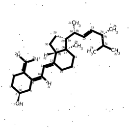 [2H]C([2H])=C1CC[C@H](O)CC1=C([2H])C=C1CCC[C@]2(C)[C@@H]([C@H](C)C=C[C@H](C)C(C)C)CC[C@@H]12